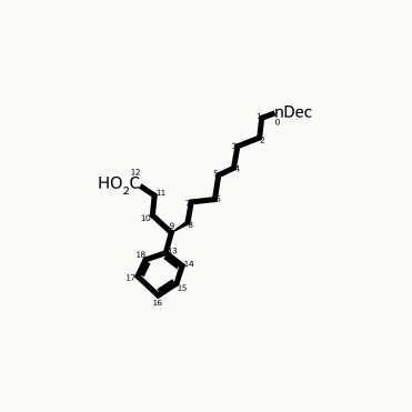 CCCCCCCCCCCCCCCCCC[C@H](CCC(=O)O)c1ccccc1